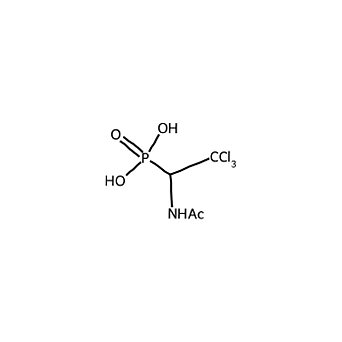 CC(=O)NC(C(Cl)(Cl)Cl)P(=O)(O)O